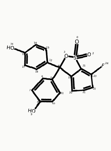 O=S1(=O)OC(c2ccc(O)cc2)(c2ccc(O)cc2)c2cccc(F)c21